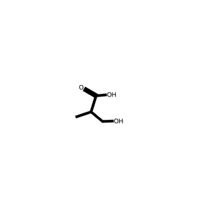 CC(CO)C(=O)O